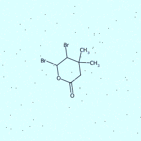 CC1(C)CC(=O)OC(Br)C1Br